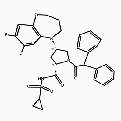 O=C(NS(=O)(=O)C1CC1)[C@@H]1C[C@H](N2CCCOc3cc(F)c(F)cc32)CN1C(=O)C(c1ccccc1)c1ccccc1